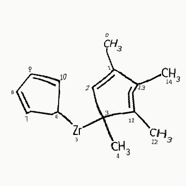 CC1=C[C](C)([Zr][CH]2C=CC=C2)C(C)=C1C